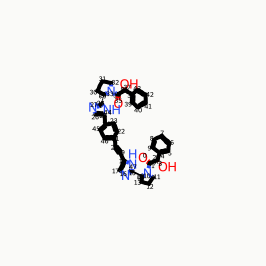 O=C([C@H](O)c1ccccc1)N1CCC[C@H]1c1ncc(C#Cc2ccc(-c3cnc([C@@H]4CCCN4C(=O)[C@H](O)c4ccccc4)[nH]3)cc2)[nH]1